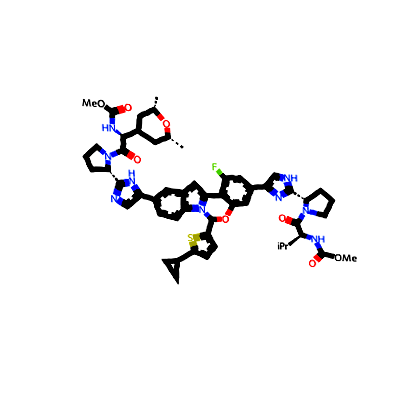 COC(=O)N[C@H](C(=O)N1CCC[C@H]1c1nc(-c2cc(F)c3c(c2)OC(c2ccc(C4CC4)s2)n2c-3cc3cc(-c4cnc([C@@H]5CCCN5C(=O)[C@@H](NC(=O)OC)C5C[C@@H](C)O[C@@H](C)C5)[nH]4)ccc32)c[nH]1)C(C)C